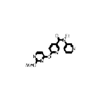 CCN(C(=O)c1ccc(Oc2ccnc(OC)n2)nc1)c1cccnc1